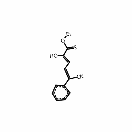 CCOC(=S)C(O)=CC=C(C#N)c1ccccc1